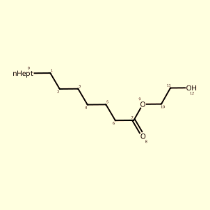 CCCCCCCCCCCCCC(=O)OCCO